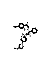 CO[C@@H]1CCN(c2ccc(NC(=O)[C@H](NC[C@H](C)c3ccc(C#N)cc3)c3ccccc3)nc2)C1